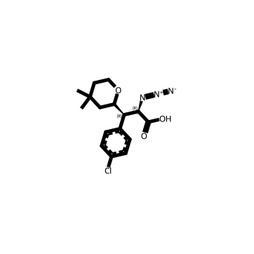 CC1(C)CCOC([C@H](c2ccc(Cl)cc2)[C@@H](N=[N+]=[N-])C(=O)O)C1